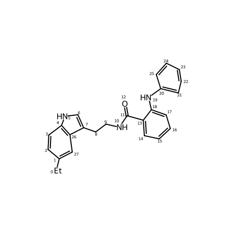 [CH2]Cc1ccc2[nH]cc(CCNC(=O)c3ccccc3Nc3ccccc3)c2c1